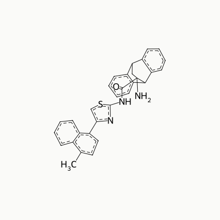 Cc1ccc(-c2csc(NC(=O)C3(N)CC4c5ccccc5C3c3ccccc34)n2)c2ccccc12